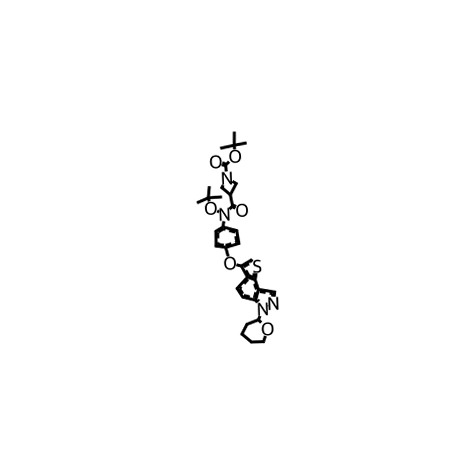 CC(C)(C)OC(=O)N1CC(C(=O)N(OC(C)(C)C)c2ccc(Oc3csc4c3ccc3c4cnn3C3CCCCO3)cc2)C1